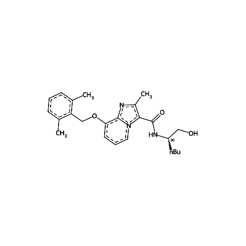 CCCC[C@H](CO)NC(=O)c1c(C)nc2c(OCc3c(C)cccc3C)cccn12